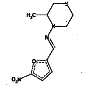 CC1CSCCN1/N=C/c1ccc([N+](=O)[O-])o1